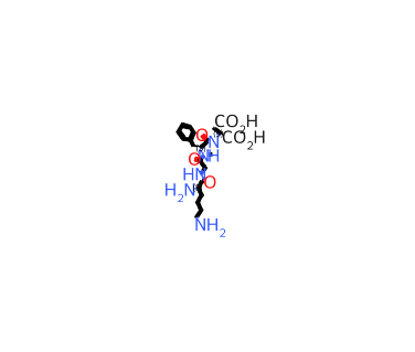 CN(C(=O)CNC(=O)[C@@H](N)CCCCN)[C@@H](Cc1ccccc1)C(=O)N[C@@H](CC(=O)O)C(=O)O